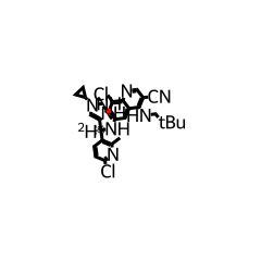 [2H][C@@](Nc1cc(Cl)c2ncc(C#N)c(NCC(C)(C)C)c2c1)(C1=CN(C2CC2)NN1)c1ccc(Cl)nc1C